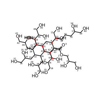 O=C(OCC(O)CO)C(CC(O)CO)C(CC(O)CO)C(CC(O)CO)C(CC(O)CO)C(CC(O)CO)C(CC(O)CO)C(CC(O)CO)C(CCCCCCC(O)CO)CC(O)CO